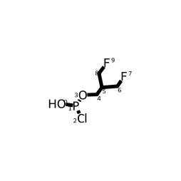 OP(Cl)OCC(CF)CF